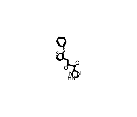 O=C(Cc1ccsc1Sc1ccccc1)C(=O)c1nc[nH]n1